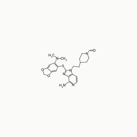 CN(C)c1cc2c(cc1Sc1nc3c(N)nccc3n1CCC1CCN(C=O)CC1)OCO2